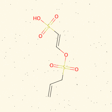 C=CCS(=O)(=O)OC=CS(=O)(=O)O